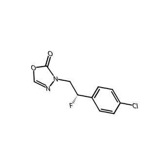 O=c1ocnn1C[C@@H](F)c1ccc(Cl)cc1